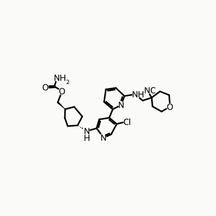 N#CC1(CNc2cccc(-c3cc(N[C@H]4CC[C@H](COC(N)=O)CC4)ncc3Cl)n2)CCOCC1